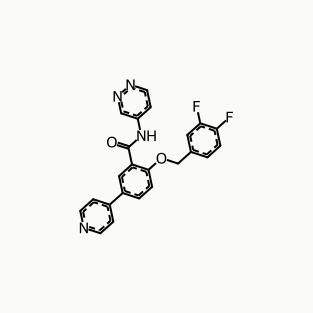 O=C(Nc1ccnnc1)c1cc(-c2ccncc2)ccc1OCc1ccc(F)c(F)c1